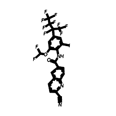 N#Cc1ccc2cc(C(=O)Nc3c(I)cc(C(F)(C(F)(F)F)C(F)(F)C(F)(F)F)cc3OC(F)F)ccc2n1